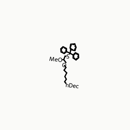 CCCCCCCCCCCCCCCCOCC(CSC(c1ccccc1)(c1ccccc1)c1ccccc1)OC